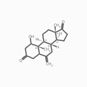 C=C1C[C@@H]2[C@H](CC[C@]3(C)C(=O)CC[C@@H]23)[C@@]2(C)C(O)CC(=O)CC12